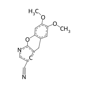 COc1cc2c(cc1OC)Oc1ncc(C#N)cc1C2